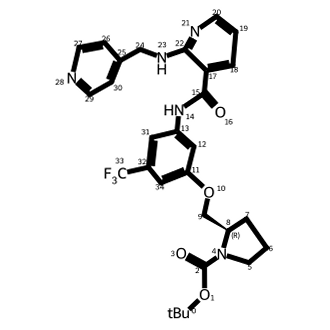 CC(C)(C)OC(=O)N1CCC[C@@H]1COc1cc(NC(=O)c2cccnc2NCc2ccncc2)cc(C(F)(F)F)c1